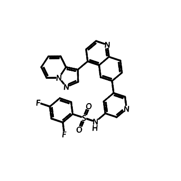 O=S(=O)(Nc1cncc(-c2ccc3nccc(-c4cnn5ccccc45)c3c2)c1)c1ccc(F)cc1F